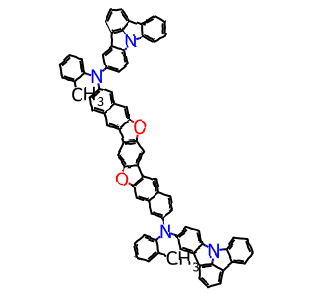 Cc1ccccc1N(c1ccc2cc3c(cc2c1)oc1cc2c(cc13)oc1cc3cc(N(c4ccc5c(c4)c4cccc6c7ccccc7n5c64)c4ccccc4C)ccc3cc12)c1ccc2c(c1)c1cccc3c4ccccc4n2c31